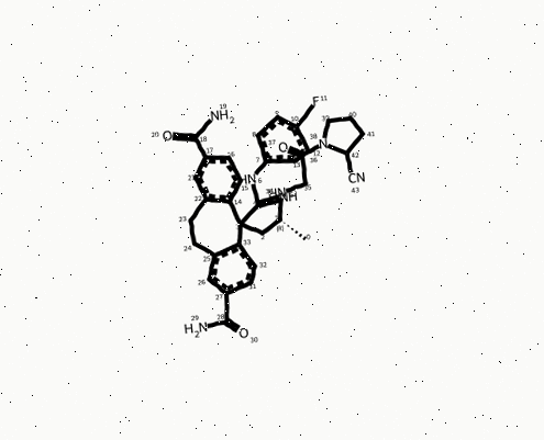 C[C@H](CC1(C(=N)Nc2ccc(F)cc2)c2ccc(C(N)=O)cc2CCc2cc(C(N)=O)ccc21)NCC(=O)N1CCCC1C#N